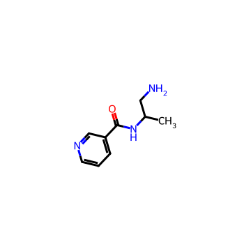 CC(CN)NC(=O)c1cccnc1